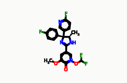 COc1cc(C2=N[C@](c3ccc(F)cc3)(c3ccc(F)nc3)[C@H](C)N2)cn(OC(F)F)c1=O